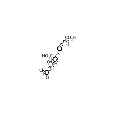 O=C(O)C1=C(CSc2cc[n+](CCC[C@@H](O)C(=O)O)cc2)CS[C@@H]2[C@@H](NC(=S)Cc3cc(Cl)nc(Cl)c3)C(=O)N12